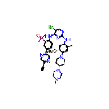 C#Cc1cnc(-c2ccc(Nc3nc(Nc4cc(OC)c(N5CCC(N6CCN(C)CC6)CC5)cc4C)ncc3Br)c(P(C)(C)=O)c2)cn1